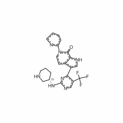 O=c1c2[nH]cc(-c3nc(N[C@H]4CCCNC4)ncc3C(F)(F)F)c2ccn1-c1ccccn1